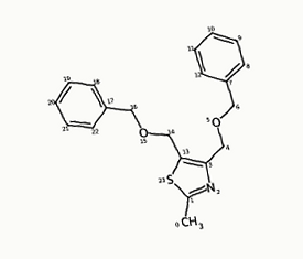 Cc1nc(COCc2ccccc2)c(COCc2ccccc2)s1